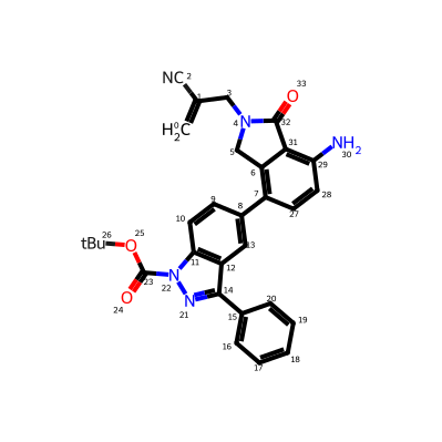 C=C(C#N)CN1Cc2c(-c3ccc4c(c3)c(-c3ccccc3)nn4C(=O)OC(C)(C)C)ccc(N)c2C1=O